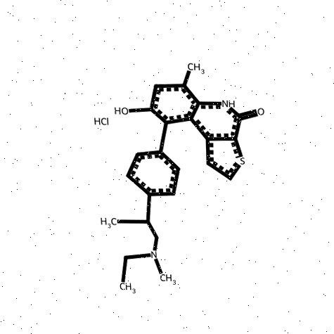 CCN(C)CC(C)c1ccc(-c2c(O)cc(C)c3[nH]c(=O)c4sccc4c23)cc1.Cl